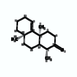 C[C@H]1C(=O)CC[C@]2(C)C3=CCCC[C@]3(C)CCC12